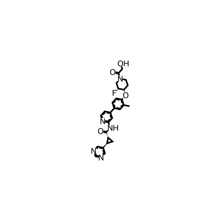 Cc1cc(-c2ccnc(NC(=O)[C@@H]3C[C@H]3c3cncnc3)c2)ccc1O[C@H]1CCN(C(=O)CO)C[C@H]1F